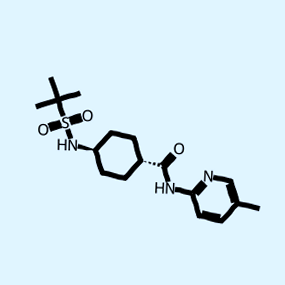 Cc1ccc(NC(=O)[C@H]2CC[C@H](NS(=O)(=O)C(C)(C)C)CC2)nc1